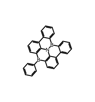 c1ccc(B2c3cccc4c3N3B(c5ccccc5-4)c4ccccc4-c4cccc2c43)cc1